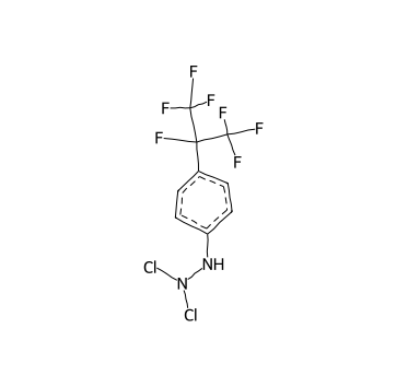 FC(F)(F)C(F)(c1ccc(NN(Cl)Cl)cc1)C(F)(F)F